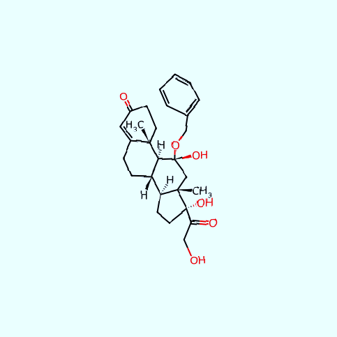 C[C@]12CCC(=O)C=C1CC[C@@H]1[C@@H]2[C@](O)(OCc2ccccc2)C[C@@]2(C)[C@H]1CC[C@]2(O)C(=O)CO